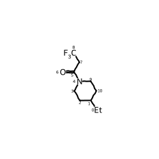 [CH2]CC1CCN(C(=O)CC(F)(F)F)CC1